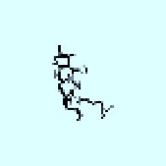 C/C=C\C=C/c1cc2nc3sc(C)c(C)c3c(=O)n2nc1NCCCN(C)C